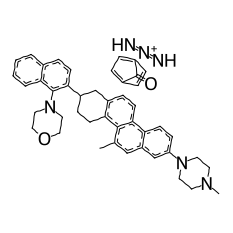 Cc1cc2cc(N3CCN(C)CC3)ccc2c2ccc3c(c12)CCC(c1ccc2ccccc2c1N1CCOCC1)C3.N=[N+]=N.O=C1C2=CC=C1C=C2